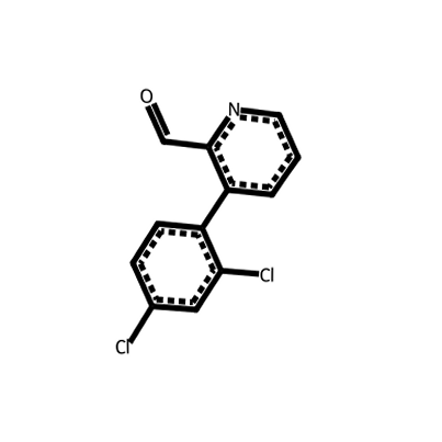 O=Cc1ncccc1-c1ccc(Cl)cc1Cl